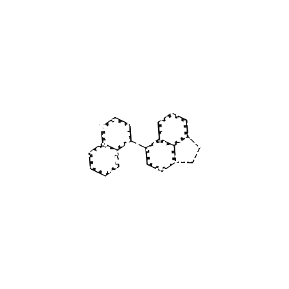 c1ccc2c(-c3ccc4c5c(cccc35)CC4)ccnc2c1